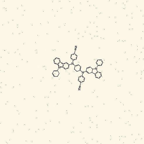 N#Cc1ccc(N(C2=CC3c4ccccc4N(c4ccccc4)C3C=C2)C2=CC=C(N(c3ccc(C#N)cc3)c3ccc4c(c3)c3ccccc3n4C3=CC=CCC3)CC2)cc1